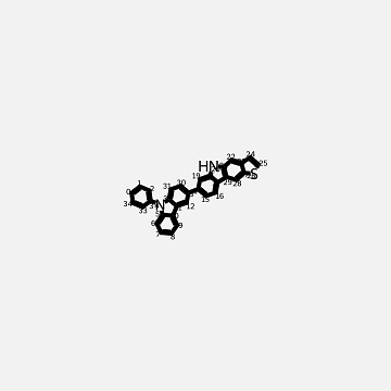 c1ccc(-n2c3ccccc3c3cc(-c4ccc5c(c4)[nH]c4cc6ccsc6cc45)ccc32)cc1